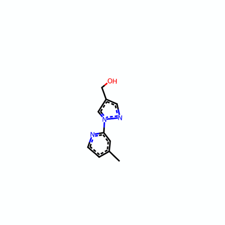 Cc1ccnc(-n2cc(CO)cn2)c1